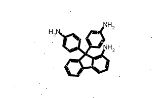 Nc1ccc(C2(c3ccc(N)cc3)c3ccccc3-c3cccc(N)c32)cc1